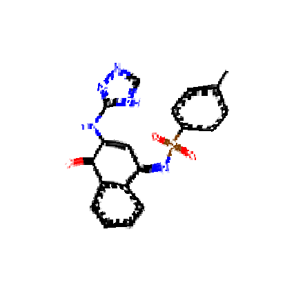 Cc1ccc(S(=O)(=O)/N=C2\C=C(Nc3nnc[nH]3)C(=O)c3ccccc32)cc1